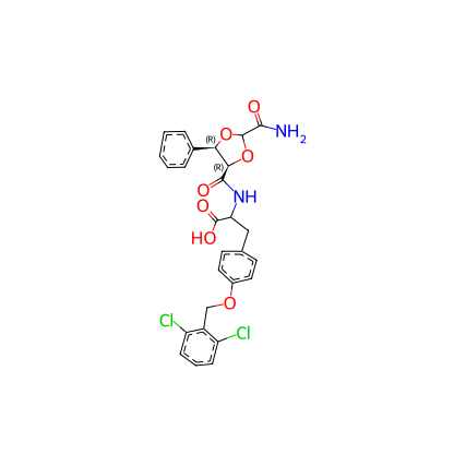 NC(=O)C1O[C@H](c2ccccc2)[C@H](C(=O)NC(Cc2ccc(OCc3c(Cl)cccc3Cl)cc2)C(=O)O)O1